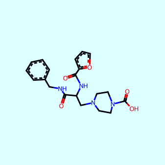 O=C(NC(CN1CCN(C(=O)O)CC1)C(=O)NCc1ccccc1)c1ccco1